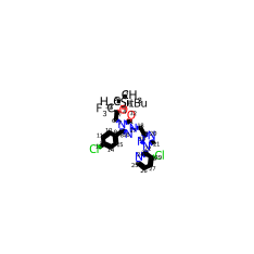 CC(C)(C)[Si](C)(C)O[C@@H](Cn1c(-c2ccc(Cl)cc2)nn(Cc2ncn(-c3ncccc3Cl)n2)c1=O)C(F)(F)F